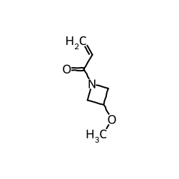 C=CC(=O)N1CC(OC)C1